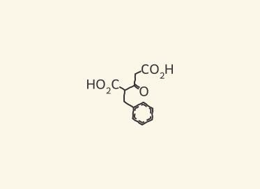 O=C(O)CC(=O)C(Cc1ccccc1)C(=O)O